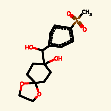 CS(=O)(=O)c1ccc(C(O)C2(O)CCC3(CC2)OCCO3)cc1